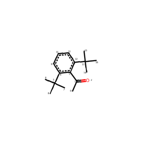 CC(=O)c1c(C(C)(C)C)cccc1C(C)(C)C